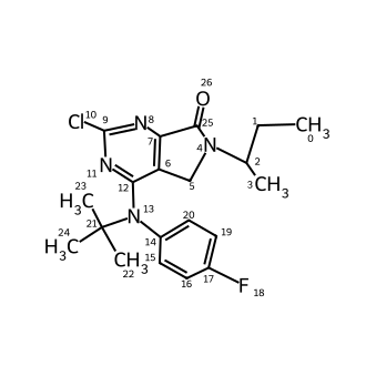 CCC(C)N1Cc2c(nc(Cl)nc2N(c2ccc(F)cc2)C(C)(C)C)C1=O